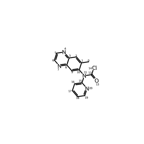 Cc1cc2nccnc2cc1N(C(=O)Cl)c1ccccn1